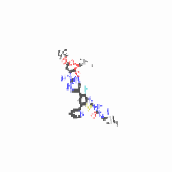 CCNC(=O)Nc1nc2c(F)c(-c3cnc(N[C@@H](CC(=O)OCC)C(=O)OCC)nc3)cc(-c3ccccn3)c2s1